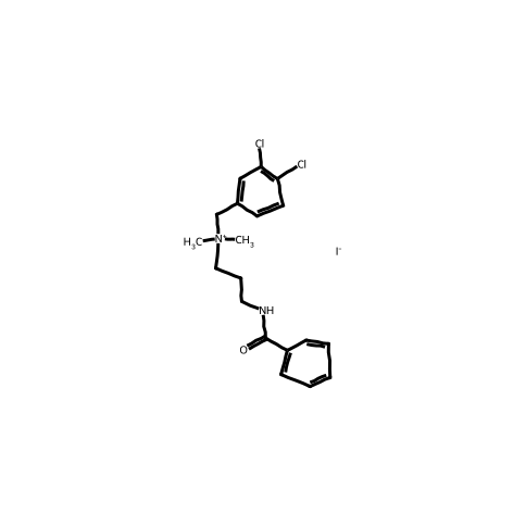 C[N+](C)(CCCNC(=O)c1ccccc1)Cc1ccc(Cl)c(Cl)c1.[I-]